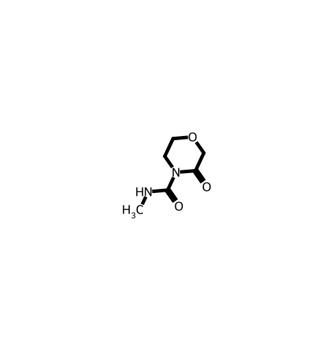 CNC(=O)N1CCOCC1=O